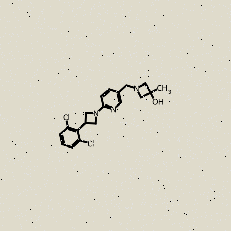 CC1(O)CN(Cc2ccc(N3CC(c4c(Cl)cccc4Cl)C3)nc2)C1